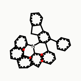 c1ccc(-c2ccccc2N(c2ccccc2-c2ccccc2)c2c3c(cc(-c4ccccc4)c2-c2ccccc2)-c2ccccc2C3)cc1